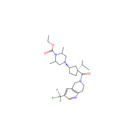 CCOC(=O)N1C(C)CN([C@@H]2CC[C@@](C(=O)N3CCc4ncc(C(F)(F)F)cc4C3)(C(C)C)C2)CC1C